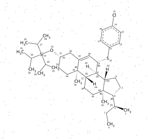 CC[C@H](C)[C@H]1CC[C@H]2[C@@H]3[C@@H](Sc4ccc(Cl)cc4)C=C4C[C@@H](O[Si](C(C)C)(C(C)C)C(C)C)CC[C@]4(C)[C@H]3CC[C@]12C